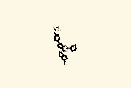 CNCc1ccc(-c2ccc3c(N4CCc5cc(Cl)ccc54)nc(-c4cccnc4)nc3c2)cc1